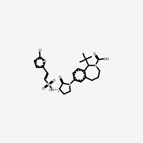 CC(C)(C)C1c2ccc(N3CC[C@H](NS(=O)(=O)C=Cc4ccc(Cl)s4)C3=O)cc2CCCN1C(=O)O